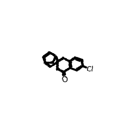 O=C1CC2(Cc3ccc(Cl)cc31)CC1C=CC2C1